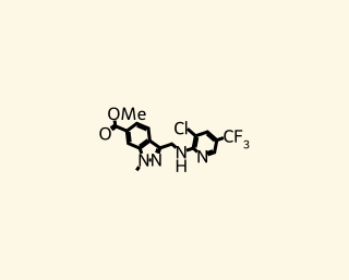 COC(=O)c1ccc2c(CNc3ncc(C(F)(F)F)cc3Cl)nn(C)c2c1